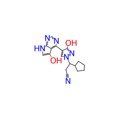 N#CCC(C1CCCC1)n1cc(-c2ncnc3[nH]cc(O)c23)c(O)n1